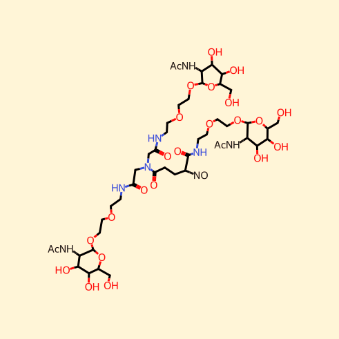 CC(=O)NC1C(OCCOCCNC(=O)CN(CC(=O)NCCOCCOC2OC(CO)C(O)C(O)C2NC(C)=O)C(=O)CCC(N=O)C(=O)NCCOCCOC2OC(CO)C(O)C(O)C2NC(C)=O)OC(CO)C(O)C1O